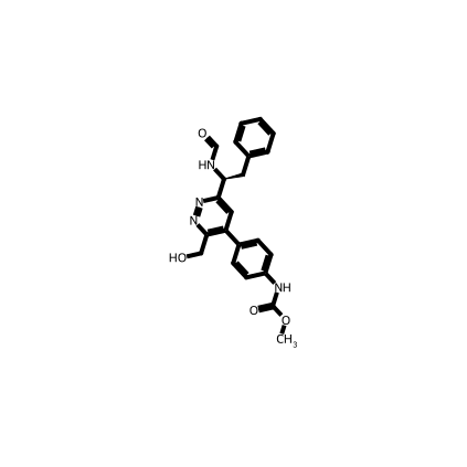 COC(=O)Nc1ccc(-c2cc([C@H](Cc3ccccc3)NC=O)nnc2CO)cc1